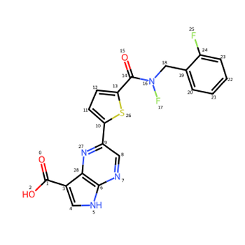 O=C(O)c1c[nH]c2ncc(-c3ccc(C(=O)N(F)Cc4ccccc4F)s3)nc12